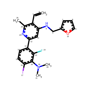 C=Cc1c(NCc2ccco2)cc(-c2ccc(I)c(N(C)C)c2F)nc1C